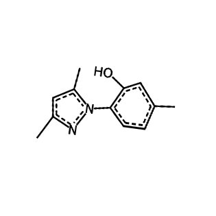 Cc1ccc(-n2nc(C)cc2C)c(O)c1